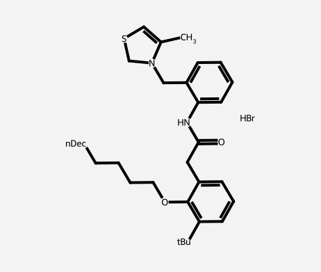 Br.CCCCCCCCCCCCCCOc1c(CC(=O)Nc2ccccc2CN2CSC=C2C)cccc1C(C)(C)C